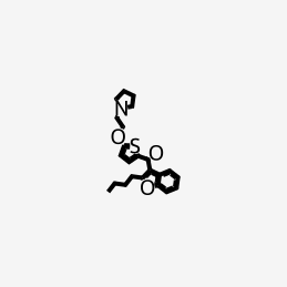 CCCCc1oc2ccccc2c1C(=O)c1ccc(OCCN2CCCC2)s1